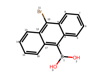 OB(O)c1c2ccccc2c(Br)c2ccccc12